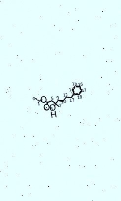 CCOC(=O)CC(C)(O)/C=C/CCc1ccccc1